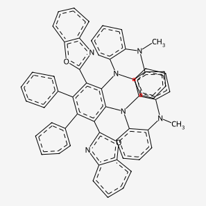 CN1c2ccccc2N(c2c(-c3nc4ccccc4o3)c(-c3ccccc3)c(-c3ccccc3)c(-c3nc4ccccc4o3)c2N2c3ccccc3N(C)c3ccccc32)c2ccccc21